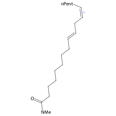 CCCCC/C=C\CC=CCCCCCCCC(=O)NC